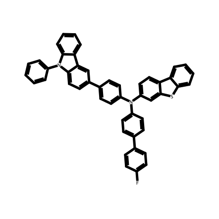 Fc1ccc(-c2ccc(N(c3ccc(-c4ccc5c(c4)c4ccccc4n5-c4ccccc4)cc3)c3ccc4c(c3)sc3ccccc34)cc2)cc1